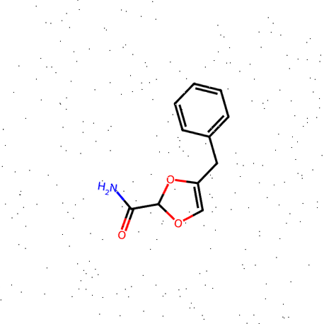 NC(=O)C1OC=C(Cc2ccccc2)O1